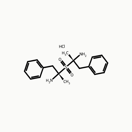 C[C@@](N)(Cc1ccccc1)S(=O)(=O)[C@](C)(N)Cc1ccccc1.Cl